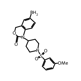 Bc1ccc2c(c1)COC(=O)N2C1CCN(S(=O)(=O)c2cccc(OC)c2)CC1